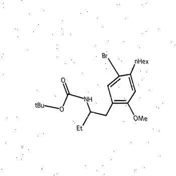 CCCCCCc1cc(OC)c(CC(CC)NC(=O)OC(C)(C)C)cc1Br